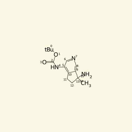 CC(C)(C)OC(=O)Nc1cncc2c1CCC2(C)N